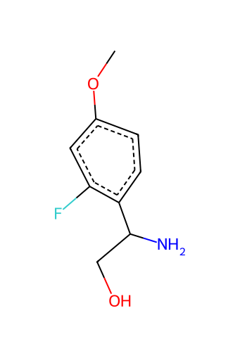 COc1ccc(C(N)CO)c(F)c1